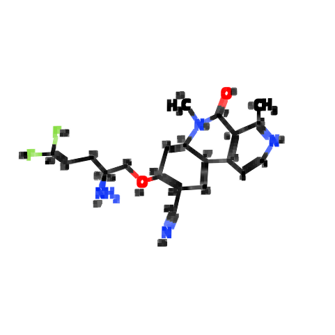 Cc1nccc2c1c(=O)n(C)c1cc(OC[C@@H](N)CC=C(F)F)c(C#N)cc21